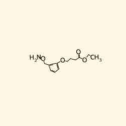 CCOC(=O)CCCOc1cccc(CON)c1